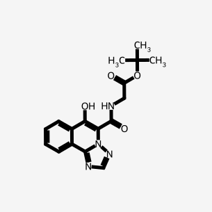 CC(C)(C)OC(=O)CNC(=O)c1c(O)c2ccccc2c2ncnn12